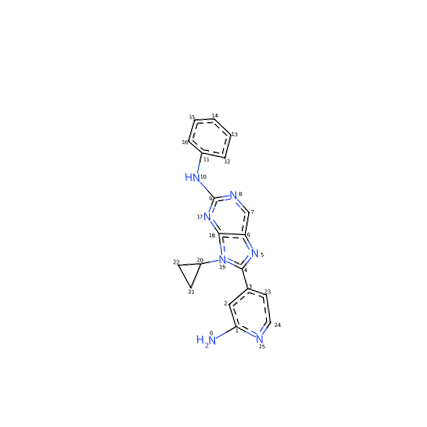 Nc1cc(-c2nc3cnc(Nc4ccccc4)nc3n2C2CC2)ccn1